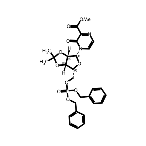 COC(=O)c1nccn([C@@H]2O[C@H](COP(=O)(OCc3ccccc3)OCc3ccccc3)[C@@H]3OC(C)(C)O[C@@H]32)c1=O